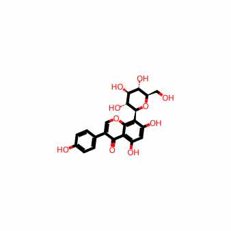 O=c1c(-c2ccc(O)cc2)coc2c([C@@H]3O[C@H](CO)[C@@H](O)[C@H](O)[C@H]3O)c(O)cc(O)c12